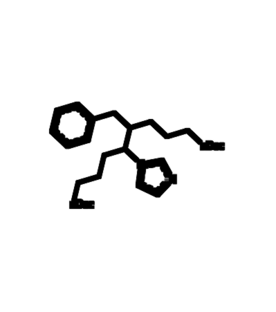 CCCCCCCCCCCCCC(Cc1ccccc1)C(CCCCCCCCCCCCC)n1ccnc1